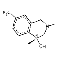 CN1Cc2cc(C(F)(F)F)ccc2[C@@](C)(O)C1